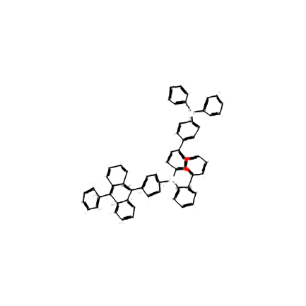 c1ccc(-c2ccccc2N(c2ccc(-c3ccc(N(c4ccccc4)c4ccccc4)cc3)cc2)c2ccc(-c3c4ccccc4c(-c4ccccc4)c4ccccc34)cc2)cc1